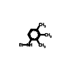 CCNc1ccc(C)c(C)c1C